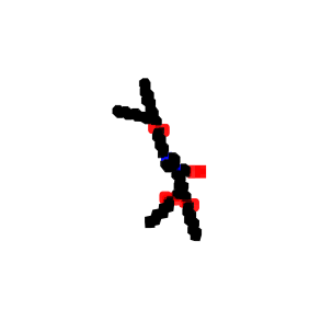 CCCCCCCCC(CCCCCCCC)COC(=O)CCCCCN1CCC(N(CCO)CCCCC(COC(=O)CCCCCCC)COC(=O)CCCCCCC)CC1